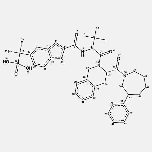 CC(C)(C)C(NC(=O)c1cc2cc(C(F)(F)P(=O)(O)O)ccc2s1)C(=O)N1Cc2ccccc2C[C@H]1C(=O)N1CCCCC(c2ccccc2)C1